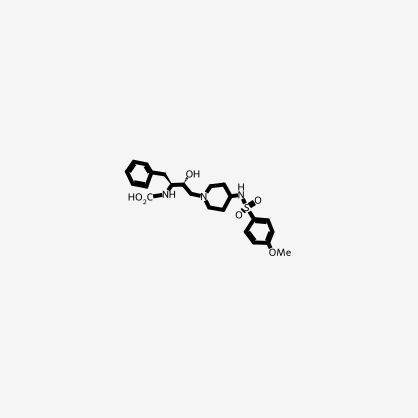 COc1ccc(S(=O)(=O)NC2CCN(C[C@@H](O)[C@H](Cc3ccccc3)NC(=O)O)CC2)cc1